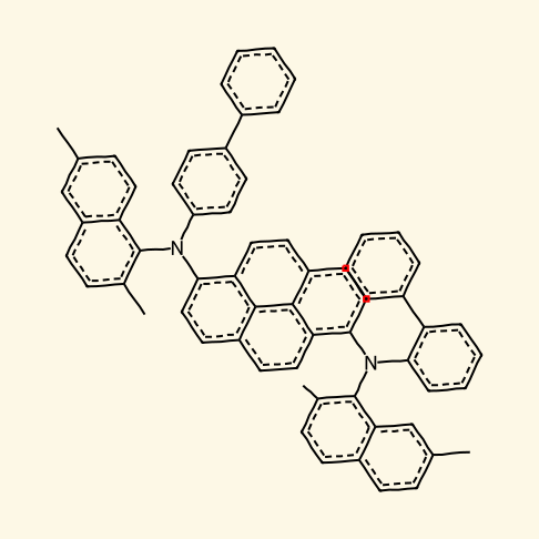 Cc1ccc2c(N(c3ccc(-c4ccccc4)cc3)c3ccc4ccc5c(N(c6ccccc6-c6ccccc6)c6c(C)ccc7ccc(C)cc67)ccc6ccc3c4c65)c(C)ccc2c1